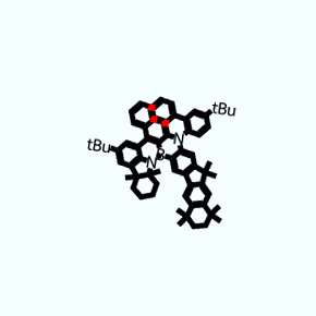 CC(C)(C)c1ccc(N2c3cc4c(cc3B3c5c2cc2ccccc2c5-c2cc(C(C)(C)C)cc5c2N3C2(C)CCCCC52C)-c2cc3c(cc2C4(C)C)C(C)(C)CCC3(C)C)c(-c2ccccc2)c1